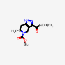 C[C@@H]1Cc2[nH]nc(C(=O)N(C)O)c2CN1C(=O)OC(C)(C)C